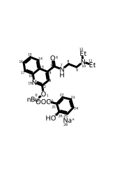 CCCCOc1cc(C(=O)NCCN(CC)CC)c2ccccc2n1.O=C([O-])c1ccccc1O.[Na+]